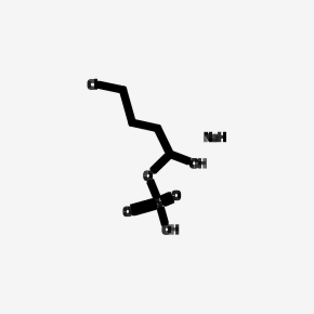 O=S(=O)(O)OC(O)CCCCl.[NaH]